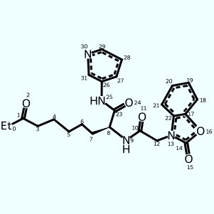 CCC(=O)CCCCC[C@H](NC(=O)Cn1c(=O)oc2ccccc21)C(=O)Nc1cccnc1